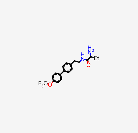 CCC(N)C(=O)NCCc1ccc(-c2ccc(OC(F)(F)F)cc2)cc1